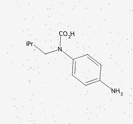 CC(C)CN(C(=O)O)c1ccc(N)cc1